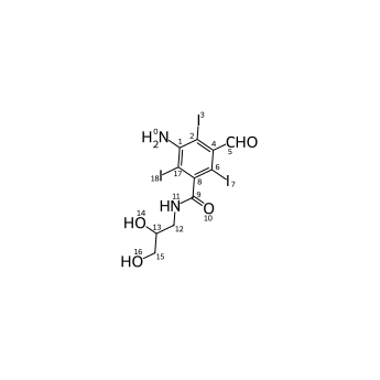 Nc1c(I)c(C=O)c(I)c(C(=O)NCC(O)CO)c1I